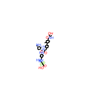 Cc1cc(C(=O)NC(C)CO)ccc1-c1ccc(CC(NC(=O)[C@H]2CC[C@H](CN)CC2)C(=O)Nc2ccc(-c3nc(C(F)(F)C(F)(F)C(=O)O)n[nH]3)cc2)cc1